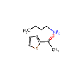 CC(=O)c1cccs1.CCCCN